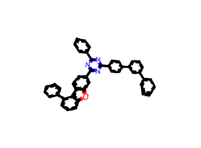 c1ccc(-c2cccc(-c3ccc(-c4nc(-c5ccccc5)nc(-c5ccc6c(c5)oc5cccc(-c7ccccc7)c56)n4)cc3)c2)cc1